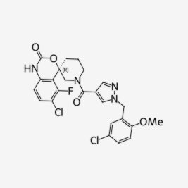 COc1ccc(Cl)cc1Cn1cc(C(=O)N2CCC[C@@]3(C2)OC(=O)Nc2ccc(Cl)c(F)c23)cn1